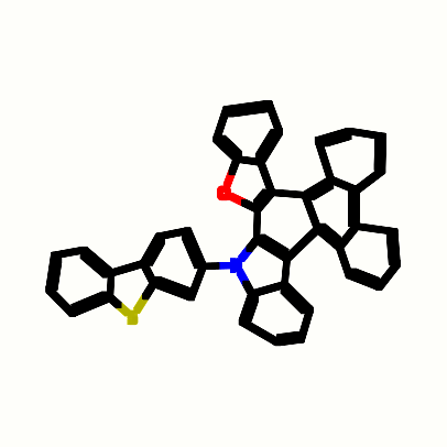 c1ccc2c(c1)oc1c2c2c3ccccc3c3ccccc3c2c2c3ccccc3n(-c3ccc4c(c3)sc3ccccc34)c12